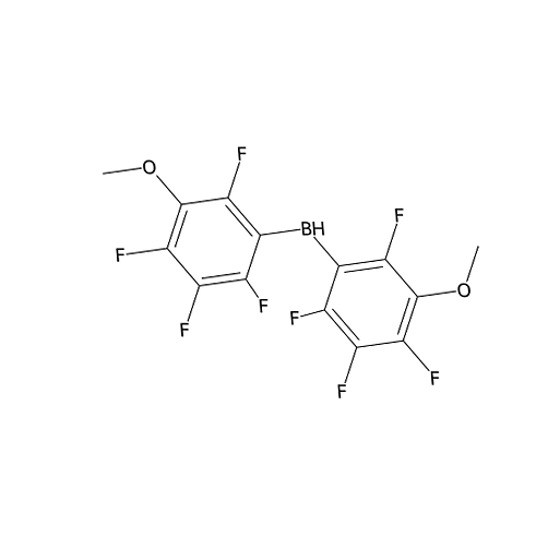 COc1c(F)c(F)c(F)c(Bc2c(F)c(F)c(F)c(OC)c2F)c1F